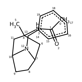 CC(=O)NC1(C)CC2CCC(C1)N2Cc1ccccc1